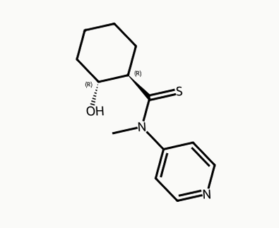 CN(C(=S)[C@@H]1CCCC[C@H]1O)c1ccncc1